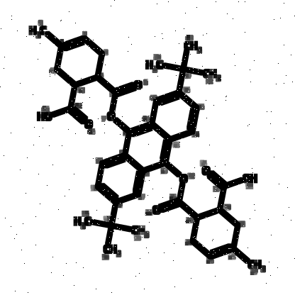 CC1=CCC(C(=O)Oc2c3ccc(C(C)(C)C)cc3c(OC(=O)C3CC=C(C)CC3C(=O)O)c3ccc(C(C)(C)C)cc23)C(C(=O)O)C1